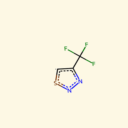 FC(F)(F)c1[c]snn1